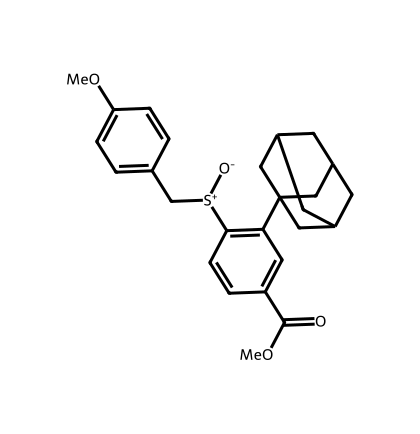 COC(=O)c1ccc([S+]([O-])Cc2ccc(OC)cc2)c(C23CC4CC(CC(C4)C2)C3)c1